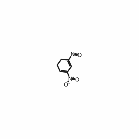 O=NC1=CC([N+](=O)[O-])=CCC1